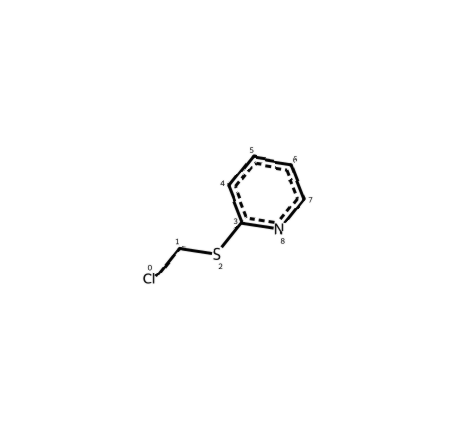 ClCSc1ccccn1